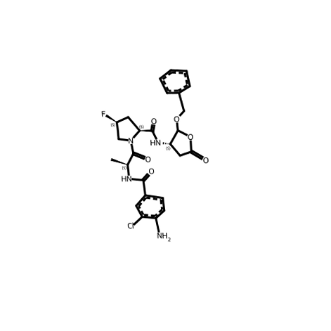 C[C@H](NC(=O)c1ccc(N)c(Cl)c1)C(=O)N1C[C@@H](F)C[C@H]1C(=O)N[C@H]1CC(=O)OC1OCc1ccccc1